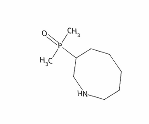 CP(C)(=O)C1CCCCCNC1